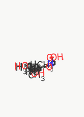 CC[C@H]1[C@@H](O)[C@@H]2[C@H](CC[C@]3(C)[C@@H](CCCOc4cccc(C(=O)O)n4)CC[C@@H]23)[C@@]2(C)CC[C@@H](O)C[C@@H]12